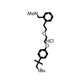 CNCc1ccccc1CCOCCOc1ccc(C(C)(C)CC(C)(C)C)cc1.Cl